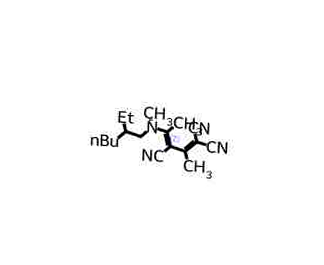 CCCCC(CC)CN(C)/C(C)=C(\C#N)C(C)=C(C#N)C#N